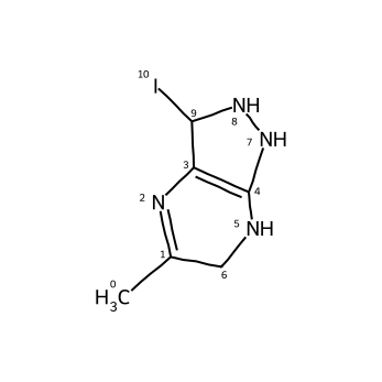 CC1=NC2=C(NC1)NNC2I